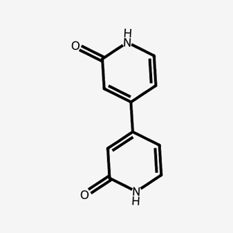 O=c1cc(-c2cc[nH]c(=O)c2)cc[nH]1